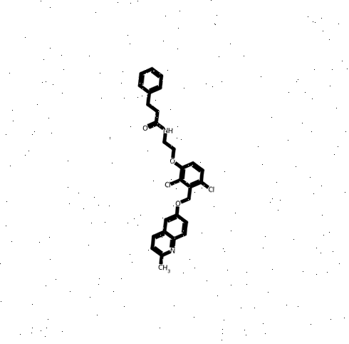 Cc1ccc2cc(OCc3c(Cl)ccc(OCCNC(=O)CCc4ccccc4)c3Cl)ccc2n1